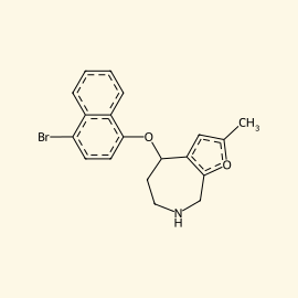 Cc1cc2c(o1)CNCCC2Oc1ccc(Br)c2ccccc12